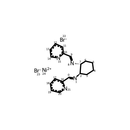 C(=N[C@@H]1CCCC[C@H]1N=Cc1ccccn1)c1ccccn1.[Br-].[Br-].[Ni+2]